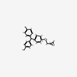 Cc1ccc(C(c2ccc(C)cc2)c2ccc(OCC3CO3)cc2)cc1